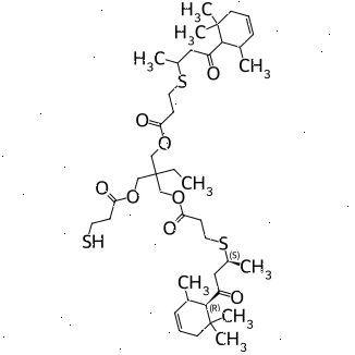 CCC(COC(=O)CCS)(COC(=O)CCSC(C)CC(=O)C1C(C)C=CCC1(C)C)COC(=O)CCS[C@@H](C)CC(=O)[C@@H]1C(C)C=CCC1(C)C